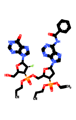 C=COP(=O)(OCCC#N)[C@H]1CC(n2cnc3c(NC(=O)c4ccccc4)ncnc32)OC1COP(=O)(OCCC#N)[C@@H]1C(CO)OC(n2cnc3c(=O)[nH]cnc32)[C@@H]1F